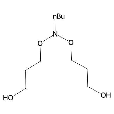 CCCCN(OCCCO)OCCCO